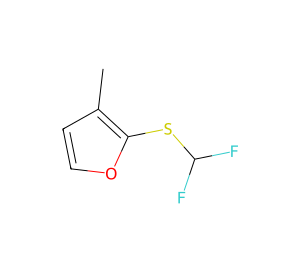 Cc1ccoc1SC(F)F